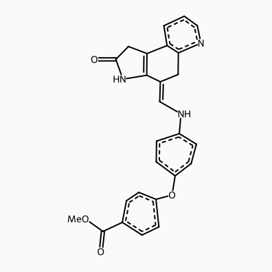 COC(=O)c1ccc(Oc2ccc(NC=C3Cc4ncccc4C4=C3NC(=O)C4)cc2)cc1